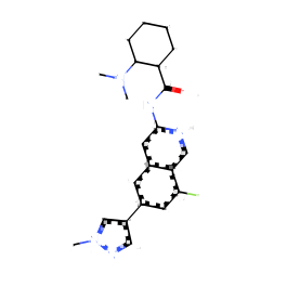 CN(C)C1CCCCC1C(=O)Nc1cc2cc(-c3cnn(C)c3)cc(F)c2cn1